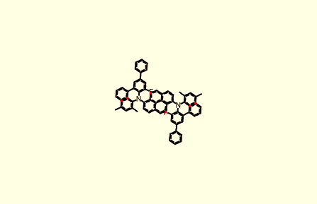 Cc1ccc(N(c2c(F)cc(-c3ccccc3)cc2-c2ccccc2)c2ccc3ccc4c(N(c5ccc(C)cc5C)c5c(F)cc(-c6ccccc6)cc5-c5ccccc5)ccc5ccc2c3c54)c(C)c1